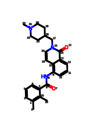 Cc1cccc(C(=O)Nc2cccc3c(=O)n(CC4CCN(C)CC4)ccc23)c1C